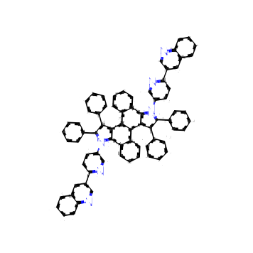 c1ccc(-c2c(-c3ccccc3)n(-c3ccc(-c4cnc5ccccc5c4)nc3)c3c4ccccc4c4c5c(-c6ccccc6)c(-c6ccccc6)n(-c6ccc(-c7cnc8ccccc8c7)nc6)c5c5ccccc5c4c23)cc1